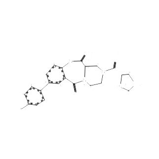 O=C1Nc2ccc(-c3ccc(Cl)cc3)cc2C(=O)N2CCN(C(=O)[C@@H]3CSCN3)C[C@H]12